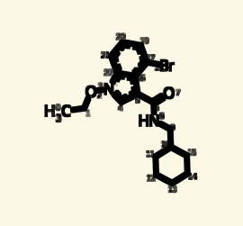 CCOn1cc(C(=O)NCC2CCCCC2)c2c(Br)cccc21